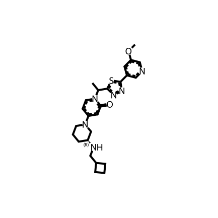 COc1cncc(-c2nnc(C(C)n3ccc(N4CCC[C@@H](NCC5CCC5)C4)cc3=O)s2)c1